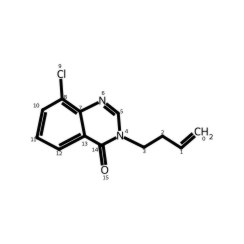 C=CCCn1cnc2c(Cl)cccc2c1=O